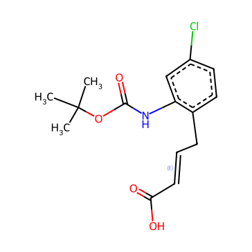 CC(C)(C)OC(=O)Nc1cc(Cl)ccc1C/C=C/C(=O)O